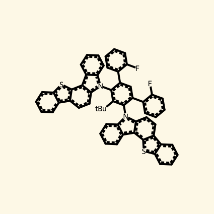 CC(C)(C)c1c(-n2c3ccccc3c3c4sc5ccccc5c4ccc32)c(-c2ccccc2F)cc(-c2ccccc2F)c1-n1c2ccccc2c2c3sc4ccccc4c3ccc21